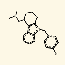 CN(C)CC1CCSc2c1c1ccccc1n2Cc1ccc(Cl)cc1